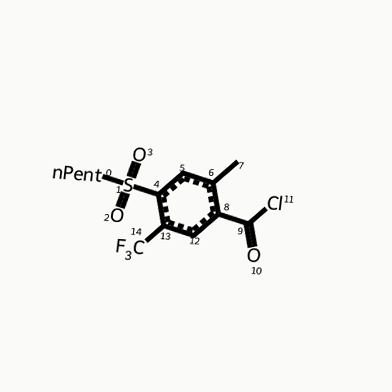 CCCCCS(=O)(=O)c1cc(C)c(C(=O)Cl)cc1C(F)(F)F